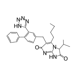 CCCCc1c(Cc2ccc(-c3ccccc3)c(-c3nnn[nH]3)c2)c(=O)nc2n1C(C(C)C)C(=O)N2